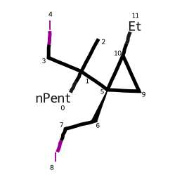 CCCCCC(C)(CI)[C@@]1(CCI)CC1CC